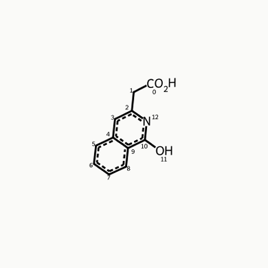 O=C(O)Cc1cc2ccccc2c(O)n1